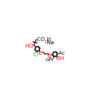 CCCc1c(OCCCOc2ccc(C(O)C(C)(C)CC(=O)O)cc2Cl)ccc(C(C)=O)c1O.[Na]